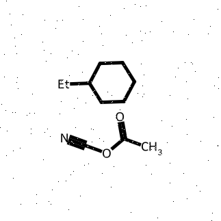 CC(=O)OC#N.CCC1CCCCC1